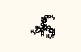 CCc1[nH]c2nc(Oc3ccc(OC)nc3)nc(Oc3ccc(OC)nc3)c2c1Br